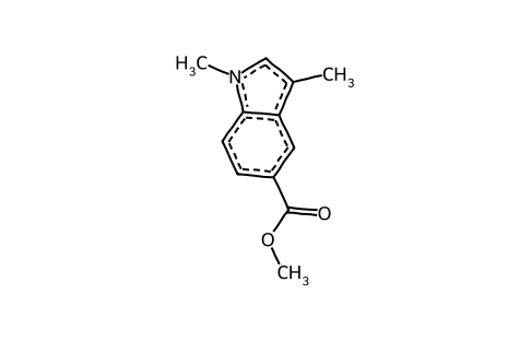 COC(=O)c1ccc2c(c1)c(C)cn2C